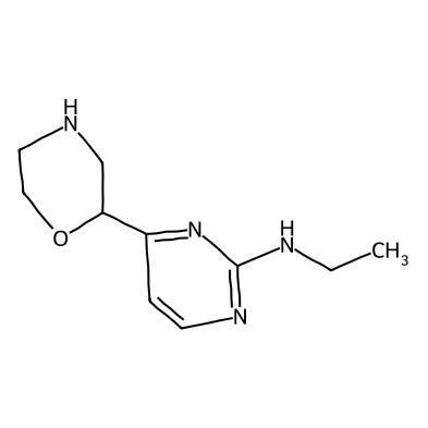 CCNc1nccc(C2CNCCO2)n1